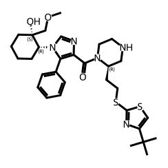 COC[C@]1(O)CCCC[C@H]1n1cnc(C(=O)N2CCNC[C@H]2CCSc2nc(C(C)(C)C)cs2)c1-c1ccccc1